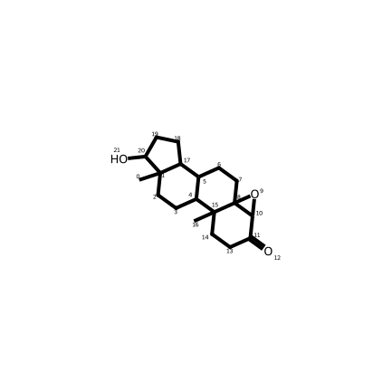 CC12CCC3C(CCC45OC4C(=O)CCC35C)C1CCC2O